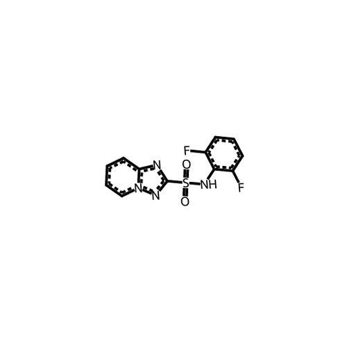 O=S(=O)(Nc1c(F)cccc1F)c1nc2ccccn2n1